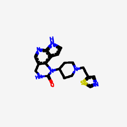 O=C1NCc2cnc3[nH]ccc3c2N1C1CCN(Cc2cncs2)CC1